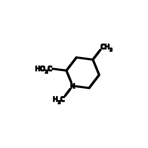 CC1CCN(C)C(C(=O)O)C1